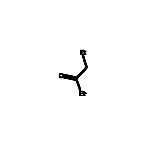 C[CH]C(=O)CCC